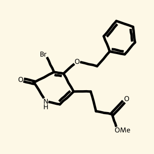 COC(=O)CCc1c[nH]c(=O)c(Br)c1OCc1ccccc1